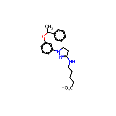 CC(Oc1cccc(N2CCC(NCCCCC(=O)O)=N2)c1)c1ccccc1